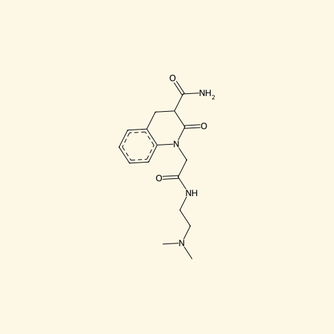 CN(C)CCNC(=O)CN1C(=O)C(C(N)=O)Cc2ccccc21